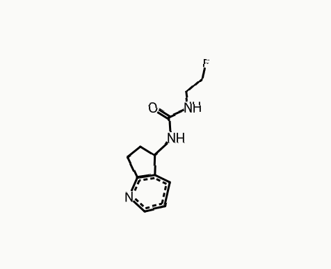 O=C(NCCF)NC1CCc2ncccc21